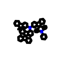 CC1(C)c2ccccc2-c2ccc(N(c3ccc4c(c3)C3(c5ccccc5-4)c4ccccc4N(c4ccccc4)c4ccccc43)c3cccc4c3-c3ccccc3C43c4ccccc4-c4ccccc43)cc21